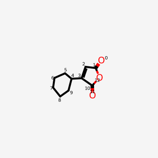 O=C1C=C(C2CCCCC2)C(=O)O1